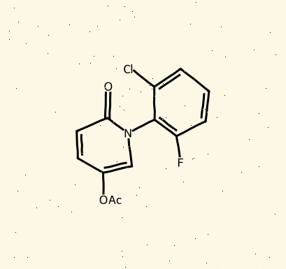 CC(=O)Oc1ccc(=O)n(-c2c(F)cccc2Cl)c1